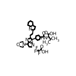 CC(C)[C@H](NC(=O)c1ccc(-c2c(C=Cc3ccc4ccccc4n3)nc3c(N4CCOCC4)ccnn23)cc1)C(=O)O.O=C(O)C(F)(F)F